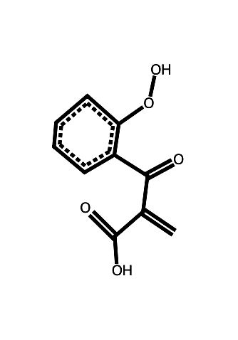 C=C(C(=O)O)C(=O)c1ccccc1OO